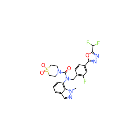 Cn1ncc2cccc(N(Cc3ccc(-c4nnc(C(F)F)o4)cc3F)C(=O)N3CCS(=O)(=O)CC3)c21